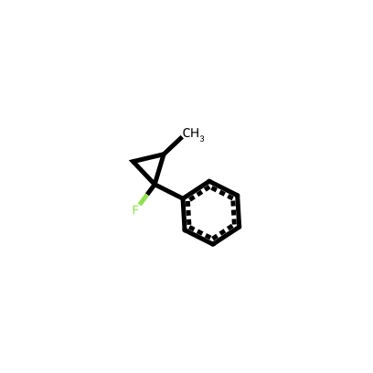 CC1CC1(F)c1ccccc1